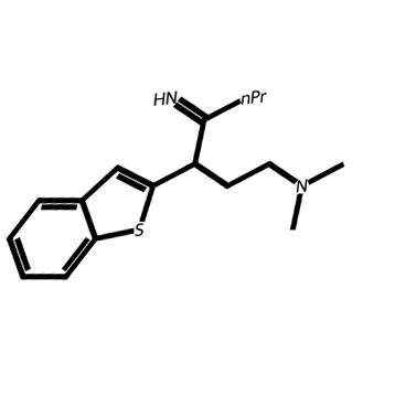 CCCC(=N)C(CCN(C)C)c1cc2ccccc2s1